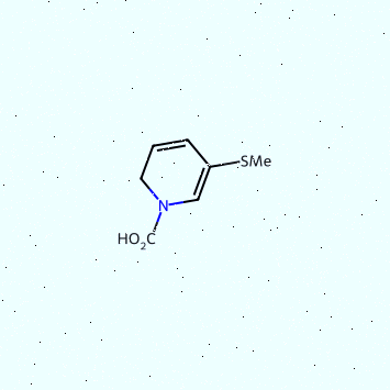 CSC1=CN(C(=O)O)CC=C1